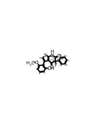 COc1cccc(O)c1-c1csc2c1C(=O)C(F)(c1ccccc1)C(=O)N2